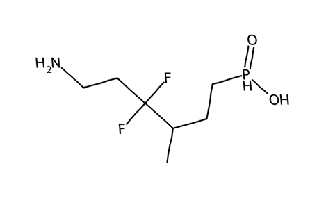 CC(CC[PH](=O)O)C(F)(F)CCN